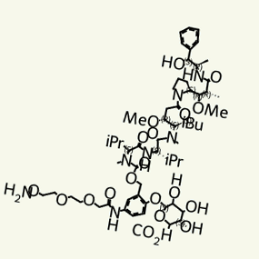 CC[C@H](C)[C@@H]([C@@H](CC(=O)N1CCC[C@H]1[C@H](OC)[C@@H](C)C(=O)N[C@H](C)[C@@H](O)c1ccccc1)OC)N(C)C(=O)[C@@H](NC(=O)[C@H](C(C)C)N(C)C(=O)OCc1cc(NC(=O)COCCOCCON)ccc1O[C@@H]1OC(C(=O)O)[C@@H](O)C(O)C1O)C(C)C